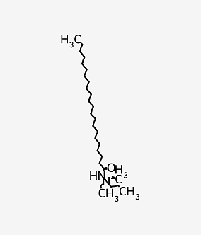 CCCCCCCCCCCCCCCCCCCCCC(=O)N[N+](CC)(CC)CCC